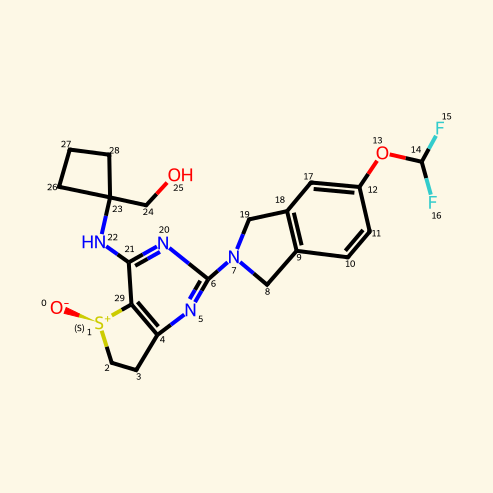 [O-][S@+]1CCc2nc(N3Cc4ccc(OC(F)F)cc4C3)nc(NC3(CO)CCC3)c21